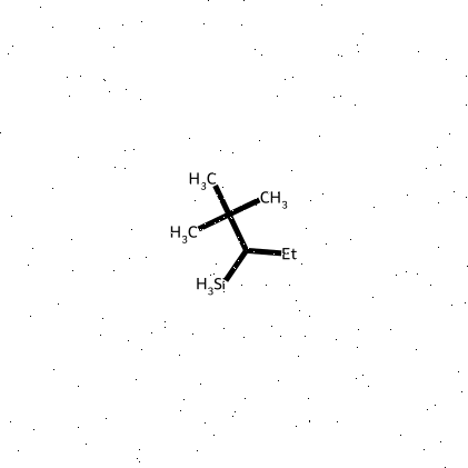 [CH2]CC([SiH3])C(C)(C)C